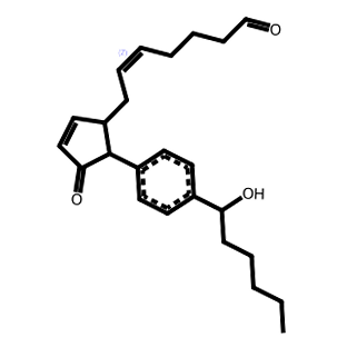 CCCCCC(O)c1ccc(C2C(=O)C=CC2C/C=C\CCCC=O)cc1